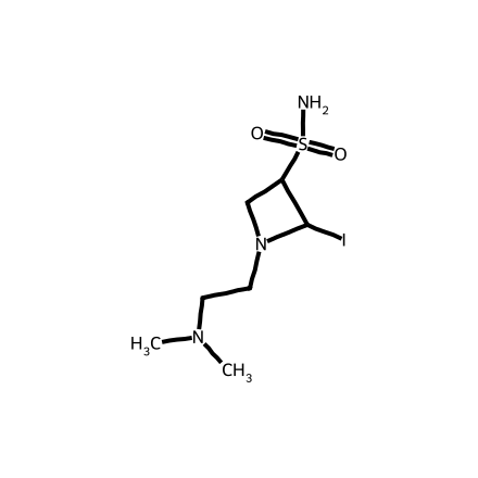 CN(C)CCN1CC(S(N)(=O)=O)C1I